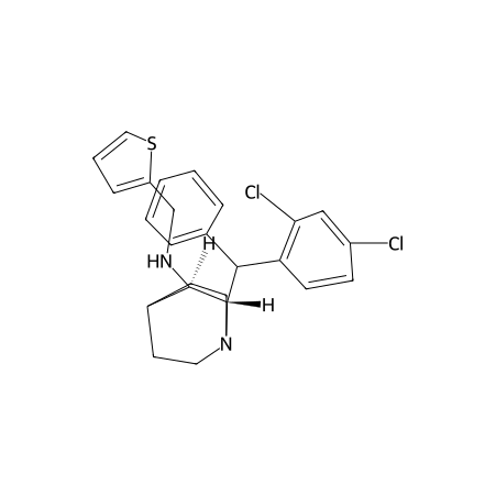 Clc1ccc(C(c2ccccc2)[C@H]2[C@H](NCc3cccs3)C3CCN2CC3)c(Cl)c1